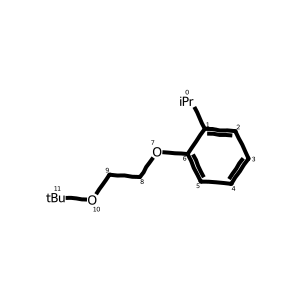 CC(C)c1ccccc1OCCOC(C)(C)C